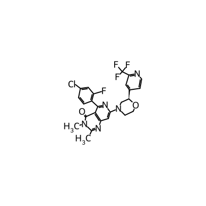 Cc1nc2cc(N3CCO[C@H](c4ccnc(C(F)(F)F)c4)C3)nc(-c3ccc(Cl)cc3F)c2c(=O)n1C